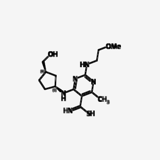 COCCNc1nc(C)c(C(=N)S)c(N[C@H]2CC[C@@H](CO)C2)n1